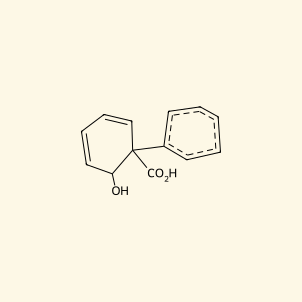 O=C(O)C1(c2ccccc2)C=CC=CC1O